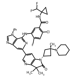 CC(C)n1cnc2cc(-c3cnc4c(c3)N([C@H]3C[C@@](C)(N5CCCCC5)C3)C(=O)C4(C)C)nc(Nc3cc(C(=O)NC4(C(F)F)CC4)c(Cl)cc3F)c21